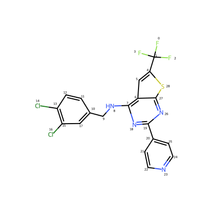 FC(F)(F)c1cc2c(NCc3ccc(Cl)c(Cl)c3)nc(-c3ccncc3)nc2s1